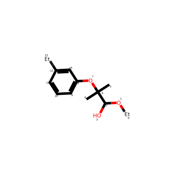 CCOC(O)C(C)(C)Oc1cccc(CC)c1